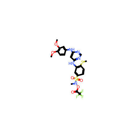 COc1ccc(Nc2cc(Nc3cc(S(=O)(=O)N(C)OC(=O)C(F)(F)F)ccc3SC)ncn2)cc1OC